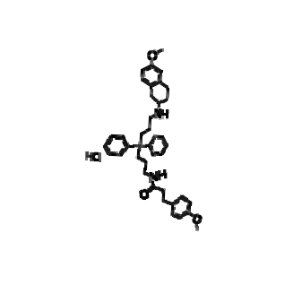 COc1ccc(CCC(=O)NCCCC(CCCNC2CCc3cc(OC)ccc3C2)(c2ccccc2)c2ccccc2)cc1.Cl